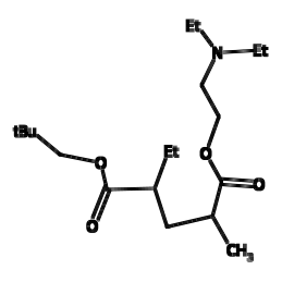 CCC(CC(C)C(=O)OCCN(CC)CC)C(=O)OCC(C)(C)C